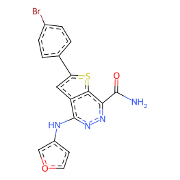 NC(=O)c1nnc(Nc2ccoc2)c2cc(-c3ccc(Br)cc3)sc12